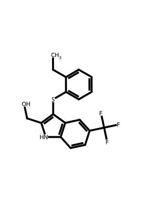 CCc1ccccc1Sc1c(CO)[nH]c2ccc(C(F)(F)F)cc12